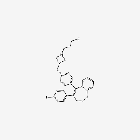 FCCCN1CC(Cc2ccc(C3=C(c4ccc(F)cc4)CCCc4ccccc43)cc2)C1